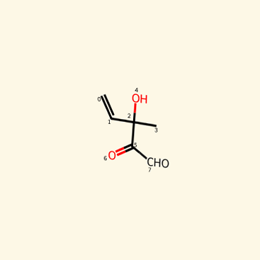 C=CC(C)(O)C(=O)C=O